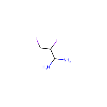 NC(N)C(I)CI